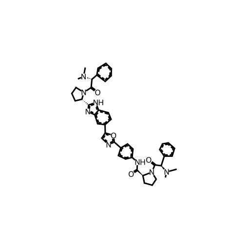 CN(C)[C@@H](C(=O)N1CCC[C@H]1C(=O)Nc1ccc(-c2ncc(-c3ccc4[nH]c([C@@H]5CCCN5C(=O)[C@@H](c5ccccc5)N(C)C)nc4c3)o2)cc1)c1ccccc1